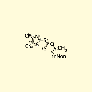 CCCCCCCCCCC(C)OC(=S)Sc1nc(Cl)c(Cl)s1